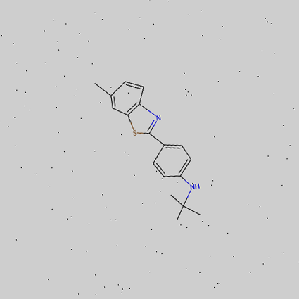 Cc1ccc2nc(-c3ccc(NC(C)(C)C)cc3)sc2c1